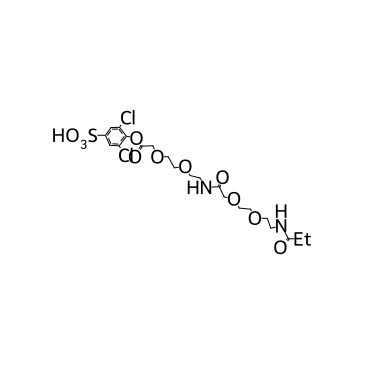 CCC(=O)NCCOCCOCC(=O)NCCOCCOCC(=O)Oc1c(Cl)cc(S(=O)(=O)O)cc1Cl